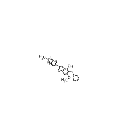 COc1cc2oc(-c3cn4nc(C)sc4n3)cc2c(O)c1Cc1ccccc1